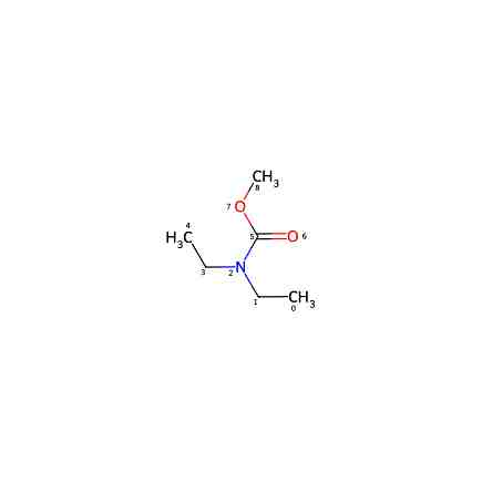 CCN(CC)C(=O)OC